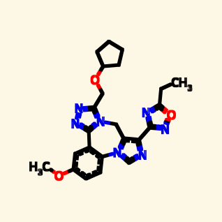 CCc1nc(-c2ncn3c2Cn2c(COC4CCCC4)nnc2-c2cc(OC)ccc2-3)no1